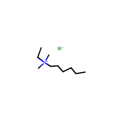 CCCCCC[N+](C)(C)CC.[Br-]